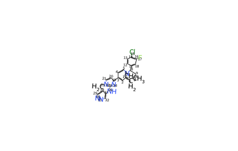 C=C/C=C(\C=C/N(C)C(CC)c1ccc(Cl)c(F)c1)C(/C=C\N=C)=N/CNc1ccnnc1